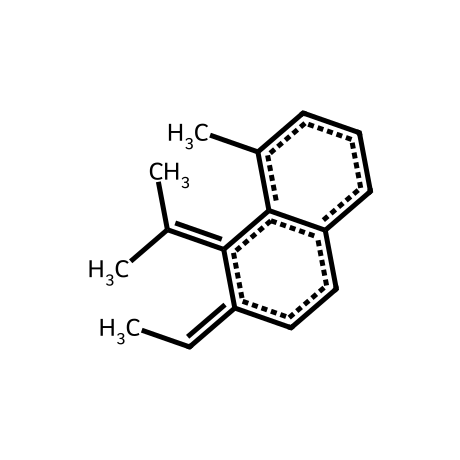 C/C=c1/ccc2cccc(C)c2c1=C(C)C